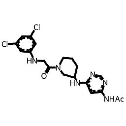 CC(=O)Nc1cc(NC2CCCN(C(=O)CNc3cc(Cl)cc(Cl)c3)C2)ncn1